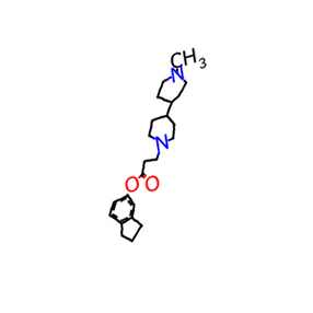 CN1CCC(C2CCN(CCC(=O)Oc3ccc4c(c3)CCC4)CC2)CC1